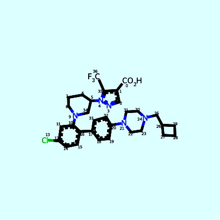 O=C(O)c1cnn(C2CCCN(c3cc(Cl)ccc3-c3ccc(N4CCN(CC5CCC5)CC4)cc3)C2)c1C(F)(F)F